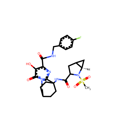 CS(=O)(=O)N1C(C(=O)NC23CCC(CC2)Cn2c3nc(C(=O)NCc3ccc(F)cc3)c(O)c2=O)CC2C[C@H]21